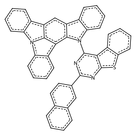 c1ccc2cc(-c3nc(-n4c5ccccc5c5cc6c7ccccc7n7c8ccccc8c(c54)c67)c4c(n3)sc3ccccc34)ccc2c1